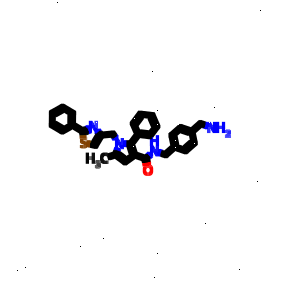 Cc1cc(C(=O)NCc2ccc(CN)cc2)c(-c2ccccc2)n1Cc1csc(-c2ccccc2)n1